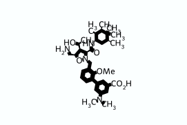 COc1c(CN2O[C@@H](CN)[C@@H]([C@H](C)O)[C@H]2C(=O)N[C@H]2C[C@@H](C)C(C)(C)[C@@H](C)[C@@H]2C)cccc1-c1cc(C(=O)O)cc(N(C)C)c1